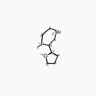 CN1CCNCC1C1CCCO1